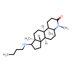 CCCCNC1CC[C@H]2[C@@H]3CCC4N(C)C(=O)CC[C@]4(C)[C@@H]3CC[C@]12C